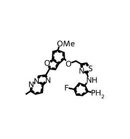 COc1cc(OCc2csc(Nc3cc(F)ccc3P)n2)c2cc(-c3cn4nc(C)ccc4n3)oc2c1